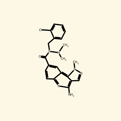 CN(C)N(Cc1ccccc1Cl)C(=O)c1ccc2nc(N)c3cnn(C)c3c2c1